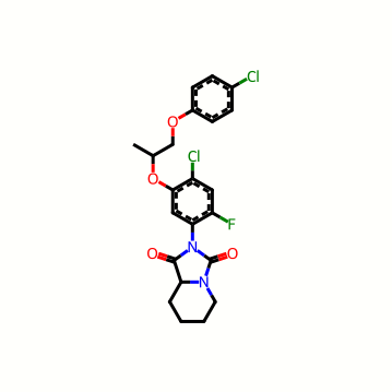 CC(COc1ccc(Cl)cc1)Oc1cc(N2C(=O)C3CCCCN3C2=O)c(F)cc1Cl